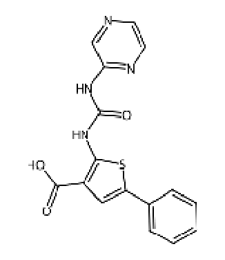 O=C(Nc1cnccn1)Nc1sc(-c2ccccc2)cc1C(=O)O